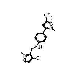 Cn1nc(C(F)(F)F)cc1-c1ccc(NCc2c(Cl)cnn2C)cc1